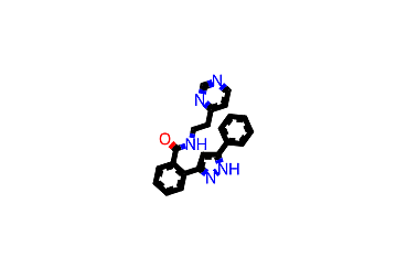 O=C(NCCc1ccncn1)c1ccccc1-c1cc(-c2ccccc2)[nH]n1